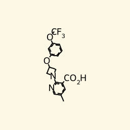 Cc1cnc(N2CC(Oc3cccc(OC(F)(F)F)c3)C2)c(C(=O)O)c1